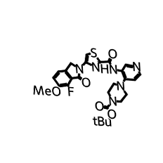 COc1ccc2c(c1F)C(=O)N(c1csc(C(=O)Nc3cnccc3N3CCN(C(=O)OC(C)(C)C)CC3)n1)C2